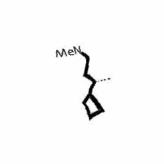 CNCC[C@H](C)C1=CCC1